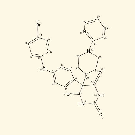 O=C1NC(=O)C(c2ccc(Oc3ccc(Br)cc3)cc2)(N2CCN(c3cnccn3)CC2)C(=O)N1